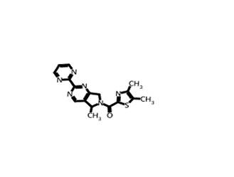 Cc1nc(C(=O)N2Cc3nc(-c4ncccn4)ncc3C2C)sc1C